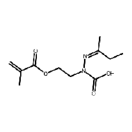 C=C(C)C(=O)OCCN(N=C(C)CC)C(=O)O